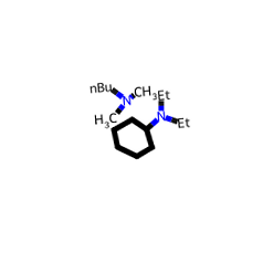 CCCCN(C)C.CCN(CC)C1CCCCC1